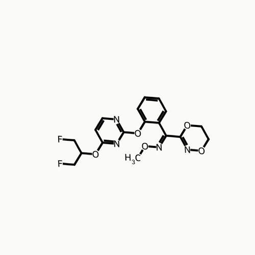 CON=C(C1=NOCCO1)c1ccccc1Oc1nccc(OC(CF)CF)n1